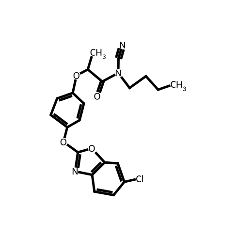 CCCCN(C#N)C(=O)C(C)Oc1ccc(Oc2nc3ccc(Cl)cc3o2)cc1